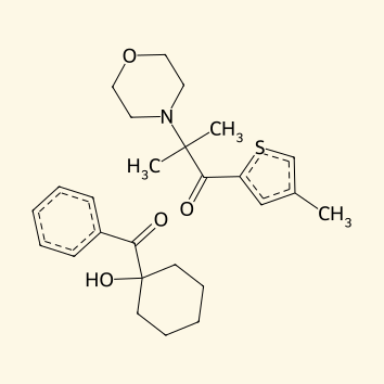 Cc1csc(C(=O)C(C)(C)N2CCOCC2)c1.O=C(c1ccccc1)C1(O)CCCCC1